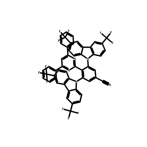 N#Cc1cc(-n2c3ccc(C(F)(F)F)cc3c3cc(C(F)(F)F)ccc32)c(-c2nc(-c3ccccc3)cc(-c3ccccc3)n2)c(-n2c3ccc(C(F)(F)F)cc3c3cc(C(F)(F)F)ccc32)c1